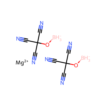 [BH3-]OC(C#N)(C#N)C#N.[BH3-]OC(C#N)(C#N)C#N.[Mg+2]